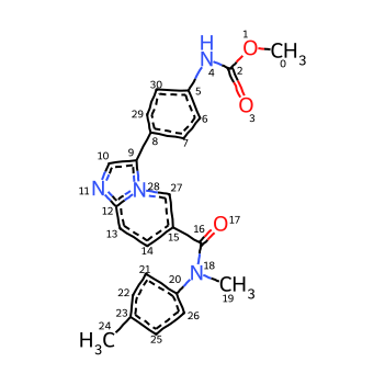 COC(=O)Nc1ccc(-c2cnc3ccc(C(=O)N(C)c4ccc(C)cc4)cn23)cc1